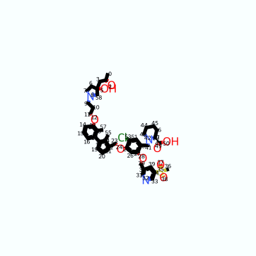 CC(=O)CC1(O)CCN(CCCOc2cccc(-c3cccc(COc4cc(OCc5cncc(S(C)(=O)=O)c5)c(CN5CCCC[C@H]5C(=O)O)cc4Cl)c3C)c2C)C1